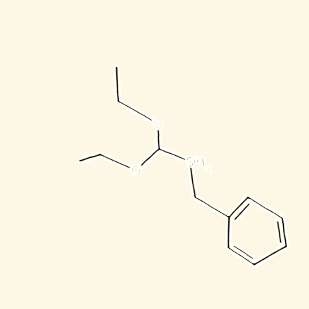 CCOC(OCC)[SiH2]Cc1ccccc1